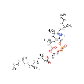 CC(C)CCCC(C)CCCC(C)CCCC(C)CC(=O)OCC(COO[PH](=O)OCCN)OC(=O)CC(C)CCCC(C)CCCC(C)CCCC(C)C